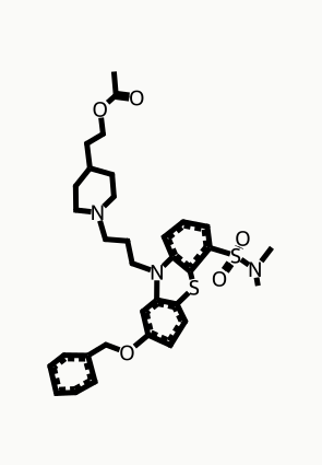 CC(=O)OCCC1CCN(CCCN2c3cc(OCc4ccccc4)ccc3Sc3c2cccc3S(=O)(=O)N(C)C)CC1